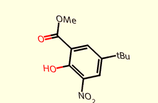 COC(=O)c1cc(C(C)(C)C)cc([N+](=O)[O-])c1O